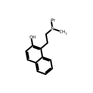 CC(C)N(C)CCc1c(O)ccc2ccccc12